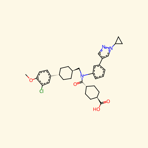 COc1ccc([C@H]2CC[C@H](CN(c3cccc(-c4cnn(C5CC5)c4)c3)C(=O)[C@H]3CC[C@H](C(=O)O)CC3)CC2)cc1Cl